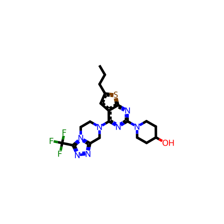 CCCc1cc2c(N3CCn4c(nnc4C(F)(F)F)C3)nc(N3CCC(O)CC3)nc2s1